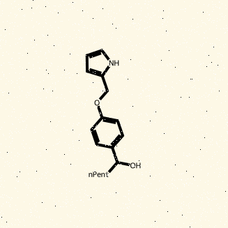 CCCCCC(O)c1ccc(OCc2ccc[nH]2)cc1